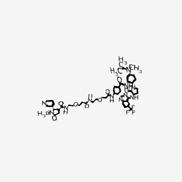 CC(C)N(C)[C@@H]1CC[C@H](N2CC[C@H](Nc3ncnc4ccc(C(F)(F)F)cc34)C2=O)[C@H](NC(=O)C2CCC(NC(=O)CCOCCNC(=O)CCOCCNC(=O)[C@H]3CC(=O)N(C)[C@@H]3c3cccnc3)CC2)C1